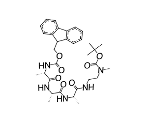 C[C@H](NC(=O)OCC1c2ccccc2-c2ccccc21)C(=O)N[C@@H](C)C(=O)N[C@@H](C)C(=O)NCCN(C)C(=O)OC(C)(C)C